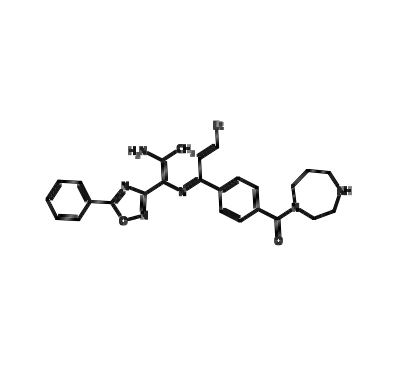 CC/C=C/C(=N\C(=C(/C)N)c1noc(-c2ccccc2)n1)c1ccc(C(=O)N2CCCNCC2)cc1